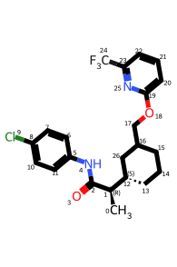 C[C@@H](C(=O)Nc1ccc(Cl)cc1)[C@H]1CCCC(COc2cccc(C(F)(F)F)n2)C1